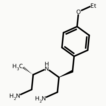 CCOc1ccc(C[C@@H](CN)N[C@@H](C)CN)cc1